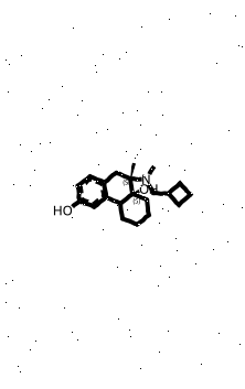 CN(CC1CCC1)[C@@]1(C)Cc2ccc(O)cc2C2CCCC[C@]21O